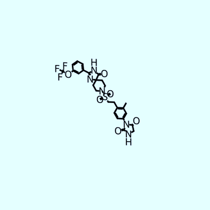 Cc1cc(N2C(=O)CNC2=O)ccc1CCS(=O)(=O)N1CCC2(CC1)N=C(c1cccc(OC(F)(F)F)c1)NC2=O